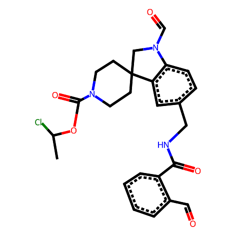 CC(Cl)OC(=O)N1CCC2(CC1)CN(C=O)c1ccc(CNC(=O)c3ccccc3C=O)cc12